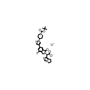 CC(C)(C)OC(=O)N1CCC(n2cc(-c3cc(F)c4c(c3)C(=O)N(C(C(=O)[O-])c3ncn5c3CCC5)C4)cn2)CC1.[Li+]